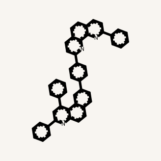 c1ccc(-c2cc(-c3ccccc3)c3c(ccc4ccc(-c5ccc(-c6ccc7ccc8ccc(-c9ccccc9)nc8c7n6)cc5)cc43)n2)cc1